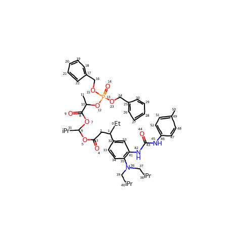 CCC(CC(=O)OC(OC(=O)C(C)OP(=O)(OCc1ccccc1)OCc1ccccc1)C(C)C)c1ccc(N(CC(C)C)CC(C)C)c(NC(=O)Nc2ccc(C)cc2)c1